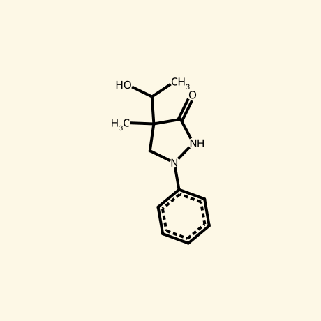 CC(O)C1(C)CN(c2ccccc2)NC1=O